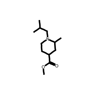 COC(=O)C1CCN(CC(C)C)C(C)C1